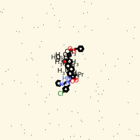 CC(C)C1=C2[C@H]3CC[C@@H]4[C@]5(C)CC[C@H]([C@@]6(C(=O)O)C[C@@H](C(=O)OCc7ccccc7)C6(C)C)C(C)(C)[C@H]5CC[C@@]4(C)[C@]3(C)CC[C@@]2(NC(=O)N(CCN2CCCCC2)Cc2ccc(Cl)cc2)CC1=O